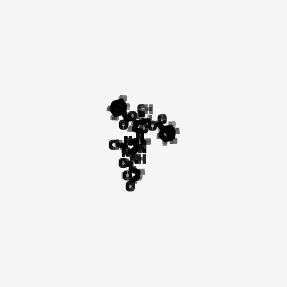 C#C[C@]1(COC(=O)C23CCC(CC2)CC3)O[C@@H](n2cnc3c(NC(=O)[C@H]4CCC(=O)O4)nc(Cl)nc32)C[C@@H]1OC(=O)C12CCC(CC1)CC2